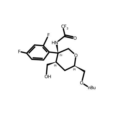 CCCCOC[C@H]1C[C@@H](CO)[C@](NC(=O)C(F)(F)F)(c2ccc(F)cc2F)CO1